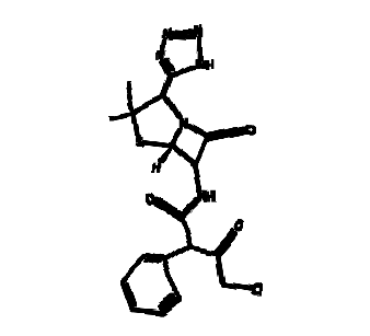 CC1(C)S[C@H]2C(NC(=O)C(C(=O)CCl)c3ccccc3)C(=O)N2C1c1nnn[nH]1